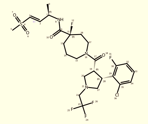 C[C@H](/C=C/S(C)(=O)=O)NC(=O)[C@@]1(F)CCCN(C(=O)[C@H]2CN(CC(F)(F)F)C[C@H]2c2c(F)cccc2Cl)CC1